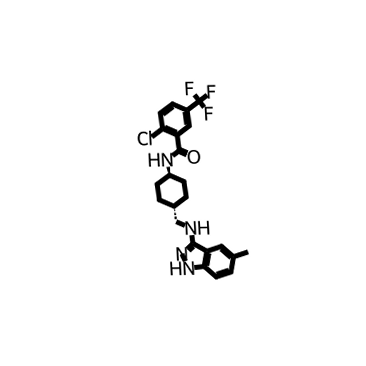 Cc1ccc2[nH]nc(NC[C@H]3CC[C@H](NC(=O)c4cc(C(F)(F)F)ccc4Cl)CC3)c2c1